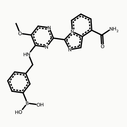 COc1cnc(-c2ncc3c(C(N)=O)cccn23)nc1NCc1cccc(B(O)O)c1